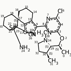 C[C@H](Oc1cc(Cl)nc(-c2noc3c2CCC[C@@]32CCCc3sc(N)c(C#N)c32)n1)[C@@H]1[C@@H](C)CCN1C